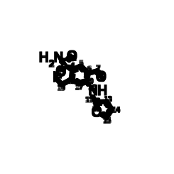 NS(=O)(=O)c1cc(C=O)c(NCc2ccco2)cc1CI